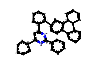 C1=CC2c3ccccc3-c3ccc(-c4ccccc4-c4cc(-c5ccccc5)nc(-c5ccccc5)n4)cc3C2C=C1